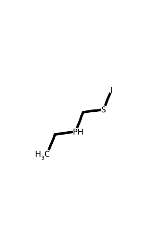 CCPCSI